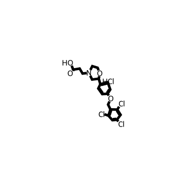 Cl.O=C(O)CCN1CCOC(c2ccc(OCc3c(Cl)cc(Cl)cc3Cl)cc2)C1